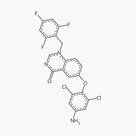 Nc1cc(Cl)c(Oc2ccc3c(c2)c(=O)ncn3Cc2c(F)cc(F)cc2F)c(Cl)c1